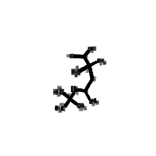 BC(CC(B)(B)C(=O)O)NC(C)(C)C